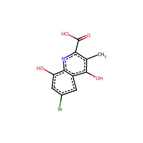 Cc1c(C(=O)O)nc2c(O)cc(Br)cc2c1O